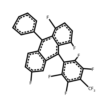 Fc1ccc2c(-c3ccccc3)c3c(F)ccc(F)c3c(-c3c(F)c(F)c(C(F)(F)F)c(F)c3F)c2c1